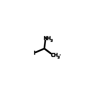 [CH2]C(N)I